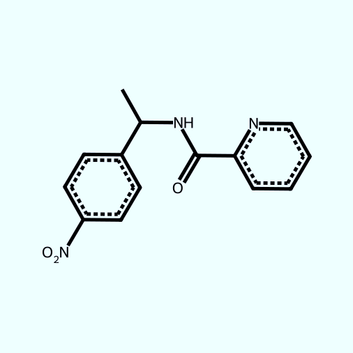 CC(NC(=O)c1ccccn1)c1ccc([N+](=O)[O-])cc1